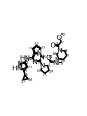 COCC(=O)N1CCC[C@@H](NC(=O)[C@@H]2CCCN2c2nc(Nc3cc(C4CC4)[nH]n3)c3cccn3n2)C1